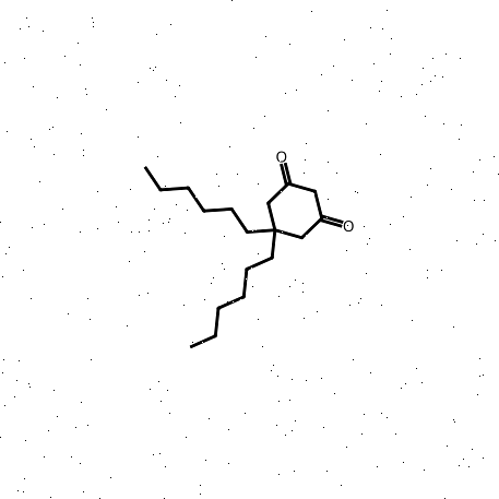 CCCCCCC1(CCCCCC)CC(=O)CC(=O)C1